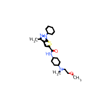 COCCN(C)[C@H]1CC[C@@H](NC(=O)c2cc3c(C)nn(C4CCCCC4)c3s2)CC1